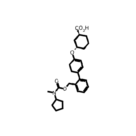 CN(C(=O)OCc1ccccc1C1=CC=C(O[C@H]2CCC[C@H](C(=O)O)C2)CC1)C1CCCC1